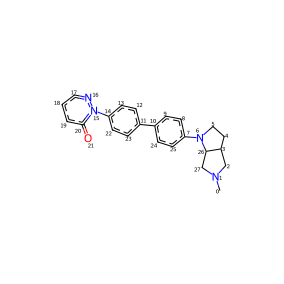 CN1CC2CCN(c3ccc(-c4ccc(-n5ncccc5=O)cc4)cc3)C2C1